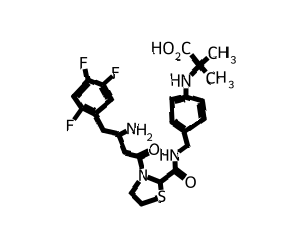 CC(C)(Nc1ccc(CNC(=O)C2SCCN2C(=O)CC(N)Cc2cc(F)c(F)cc2F)cc1)C(=O)O